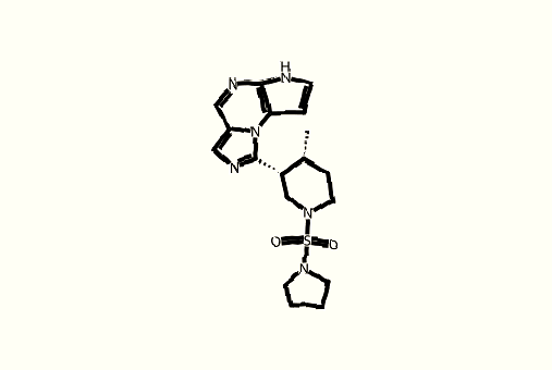 C[C@@H]1CCN(S(=O)(=O)N2CCCC2)C[C@@H]1c1ncc2cnc3[nH]ccc3n12